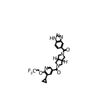 O=C(c1cnc(OCC(F)(F)F)c(C2CC2)c1)N1C[C@H]2CN(C(=O)c3ccc4[nH]nnc4c3)C[C@@H]2C1